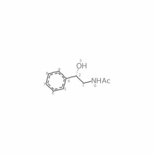 CC(=O)NC[C@@H](O)c1ccccc1